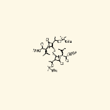 COC(=O)C(=C(C)C)N1C(=O)C(C(C)O[Si](C)(C)C(C)(C)C)C1SSC1C(C(C)O[Si](C)(C)C(C)(C)C)C(=O)N1C(C(=O)OC)=C(C)C